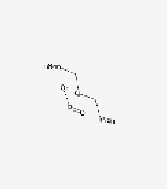 CCCCCCCCC[CH2][Al][CH2]CCCCCCCCC.O=PO